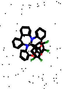 Fc1cc2c(cc1F)[Si]13c4cc(F)c(F)cc4Oc4ccccc4N1c1ccccc1-c1ccccc1N3c1ccccc1O2